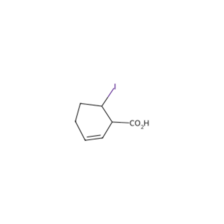 O=C(O)C1C=CCCC1I